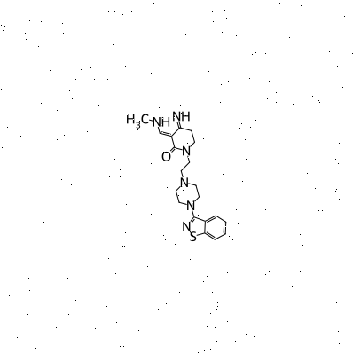 CN/C=C1\C(=N)CCN(CCN2CCN(c3nsc4ccccc34)CC2)C1=O